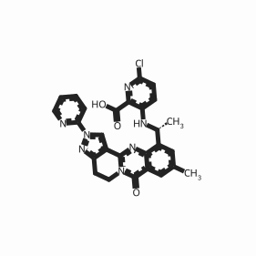 Cc1cc([C@@H](C)Nc2ccc(Cl)nc2C(=O)O)c2nc3n(c(=O)c2c1)CCc1nn(-c2ccccn2)cc1-3